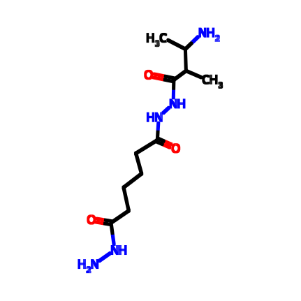 CC(N)C(C)C(=O)NNC(=O)CCCCC(=O)NN